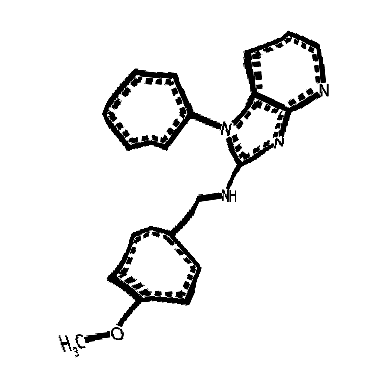 COc1ccc(CNc2nc3ncccc3n2-c2ccccc2)cc1